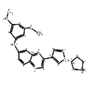 COc1cc(Nc2ccc3ncc(-c4cnn([C@@H]5CCNC5)c4)nc3c2)cc(OC)c1